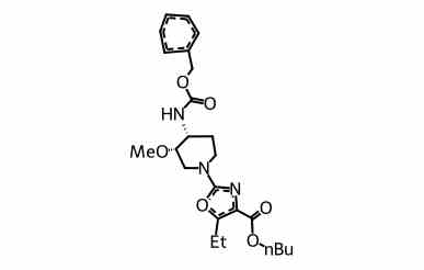 CCCCOC(=O)c1nc(N2CC[C@@H](NC(=O)OCc3ccccc3)[C@@H](OC)C2)oc1CC